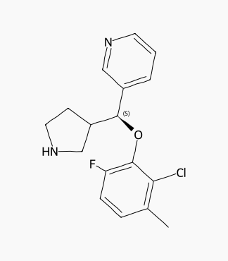 Cc1ccc(F)c(O[C@H](c2cccnc2)C2CCNC2)c1Cl